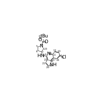 CC(C)(C)OC(=O)N1CCC(Nc2nc3ccc(Cl)cc3c3[nH]ccc23)C1